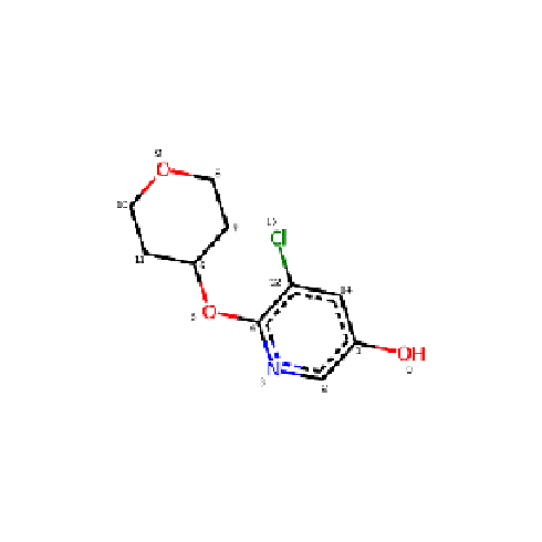 Oc1cnc(OC2CCOCC2)c(Cl)c1